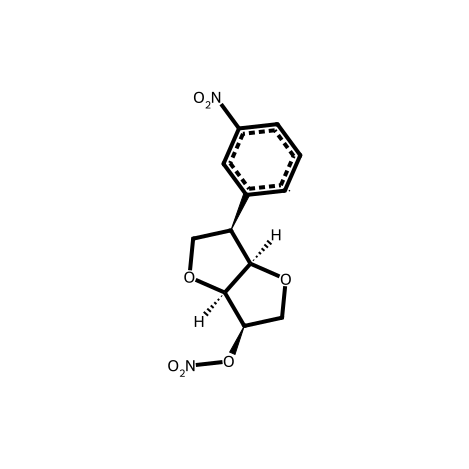 O=[N+]([O-])O[C@@H]1CO[C@H]2[C@@H]1OC[C@H]2c1[c]ccc([N+](=O)[O-])c1